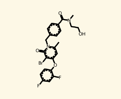 Cc1cc(Oc2ccc(F)cc2F)c(Br)c(=O)n1Cc1ccc(C(=O)N(C)CCO)cc1